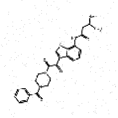 CNC(CC(=O)Nc1cccc2c(C(=O)C(=O)N3CCN(C(=O)c4ccccc4)CC3)c[nH]c12)C(=O)O